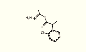 CC(=NN)OC(=O)C(C)c1ccccc1Cl